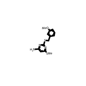 COc1cccc(CSc2nc(N)cc(SC)n2)c1